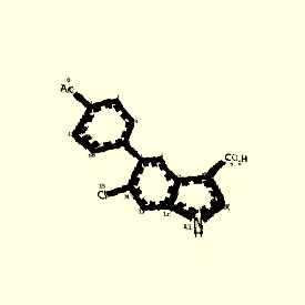 CC(=O)c1ccc(-c2cc3c(C(=O)O)c[nH]c3cc2Cl)cc1